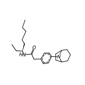 CCCCC[C@H](CC)NC(=O)Cc1ccc(N2C3CCCC2CC3)cc1